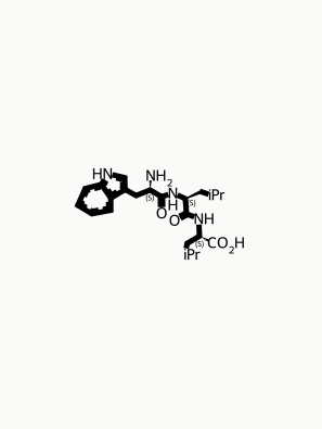 CC(C)C[C@H](NC(=O)[C@H](CC(C)C)NC(=O)[C@@H](N)Cc1c[nH]c2ccccc12)C(=O)O